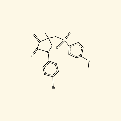 C=C1C(=O)N(c2ccc(Br)cc2)CC1(C)CS(=O)(=O)c1ccc(OC)cc1